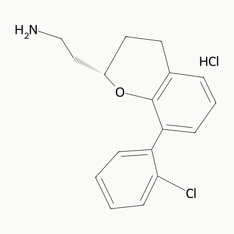 Cl.NCC[C@@H]1CCc2cccc(-c3ccccc3Cl)c2O1